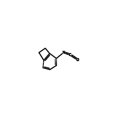 O=C=Nc1cccc2c1CC2